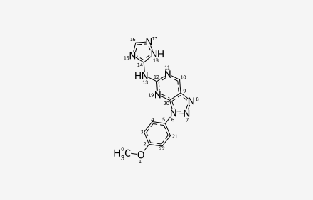 COc1ccc(-n2nnc3cnc(Nc4ncn[nH]4)nc32)cc1